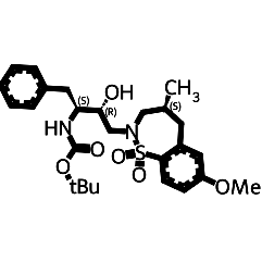 COc1ccc2c(c1)C[C@H](C)CN(C[C@@H](O)[C@H](Cc1ccccc1)NC(=O)OC(C)(C)C)S2(=O)=O